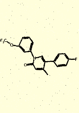 Cc1cc(=O)n(-c2cccc(OC(F)(F)F)c2)cc1-c1ccc(F)cc1